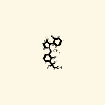 C[C@H](c1cccc(C(F)(F)CO)c1F)N1C=CC(=O)C1c1ccccc1F